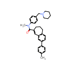 Cc1ccc(-c2ccc3c(c2)C=C(C(=O)N(C)c2ccc(CN4CCCCC4)cc2)CCC3)cc1